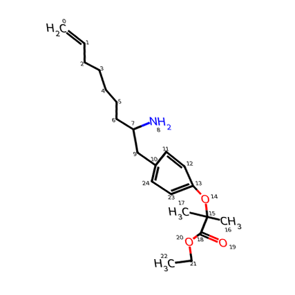 C=CCCCCCC(N)Cc1ccc(OC(C)(C)C(=O)OCC)cc1